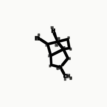 CCC1C2CN(C)CC23CC[C@@H]13